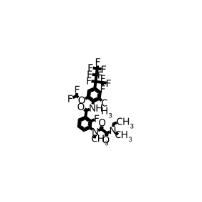 CCN(C)C(=O)C(=O)N(C)c1cccc(C(=O)Nc2c(C)cc(C(F)(C(F)(F)F)C(F)(F)C(F)(F)F)cc2OC(F)F)c1F